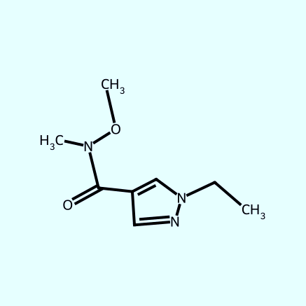 CCn1cc(C(=O)N(C)OC)cn1